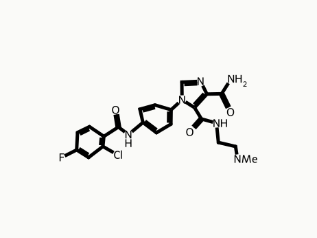 CNCCNC(=O)c1c(C(N)=O)ncn1-c1ccc(NC(=O)c2ccc(F)cc2Cl)cc1